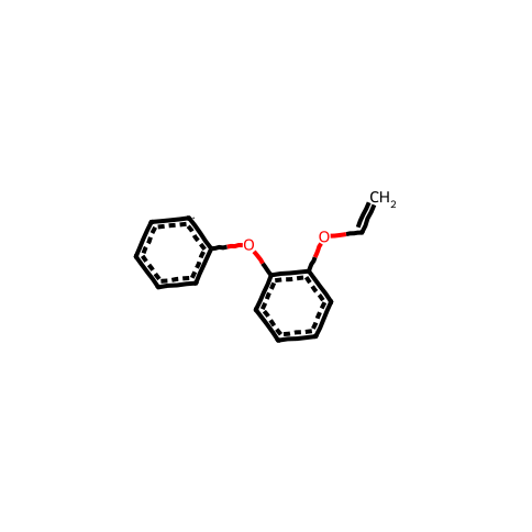 C=COc1ccccc1Oc1[c]cccc1